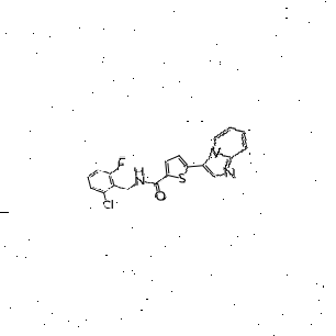 O=C(NCc1c(F)cccc1Cl)c1ccc(-c2cnc3ccccn23)s1